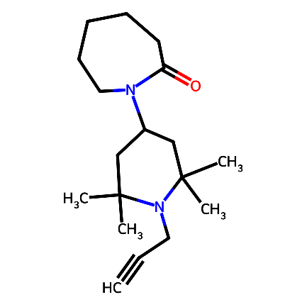 C#CCN1C(C)(C)CC(N2CCCCCC2=O)CC1(C)C